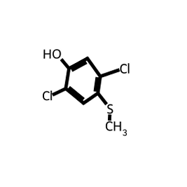 CSc1cc(Cl)c(O)cc1Cl